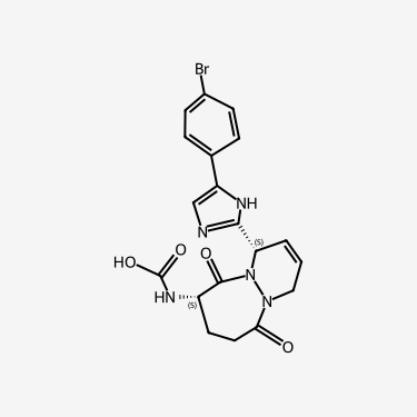 O=C(O)N[C@H]1CCC(=O)N2CC=C[C@@H](c3ncc(-c4ccc(Br)cc4)[nH]3)N2C1=O